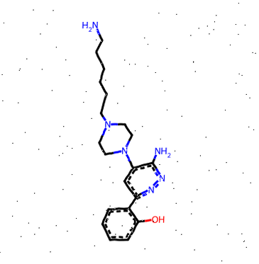 NCCCCCCN1CCN(c2cc(-c3ccccc3O)nnc2N)CC1